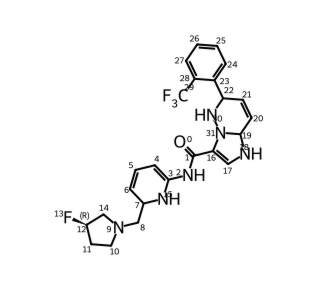 O=C(NC1=CC=CC(CN2CC[C@@H](F)C2)N1)C1=CNC2C=CC(c3ccccc3C(F)(F)F)NN12